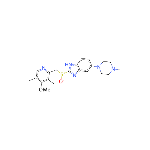 COc1c(C)cnc(C[S+]([O-])c2nc3cc(N4CCN(C)CC4)ccc3[nH]2)c1C